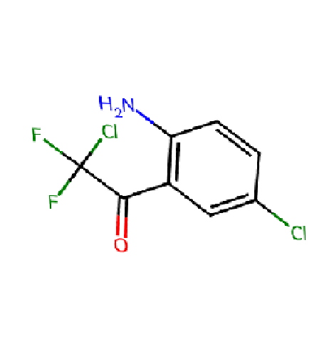 Nc1ccc(Cl)cc1C(=O)C(F)(F)Cl